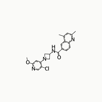 COc1cc(N2CC(NC(=O)c3ccc4nc(C)cc(C)c4c3)C2)c(Cl)cn1